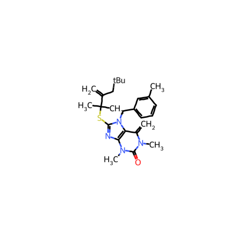 C=C1c2c(nc(SC(C)(C)C(=C)CC(C)(C)C)n2Cc2cccc(C)c2)N(C)C(=O)N1C